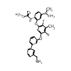 COC(=O)Nc1ccc(N(C)C)cc1Oc1nc(Oc2cccc(-c3cccc(CN)c3)c2)c(F)c(C)c1F